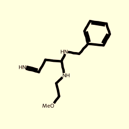 COCCNC(CC=N)NCc1ccccc1